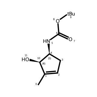 CC1=CC[C@H](NC(=O)OC(C)(C)C)[C@@H]1O